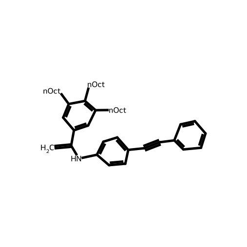 C=C(Nc1ccc(C#Cc2ccccc2)cc1)c1cc(CCCCCCCC)c(CCCCCCCC)c(CCCCCCCC)c1